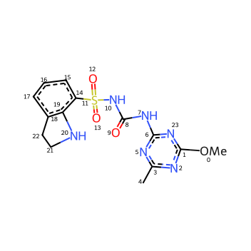 COc1nc(C)nc(NC(=O)NS(=O)(=O)c2cccc3c2NCC3)n1